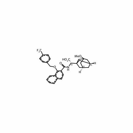 COC12C[C@H]3C[C@@H](C1)CC([C@H](NC(=O)c1ccc4ccccc4c1OCc1ccc(C(F)(F)F)cc1)C(=O)O)(C3)C2